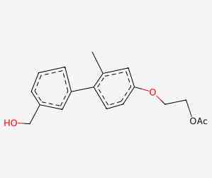 CC(=O)OCCOc1ccc(-c2cccc(CO)c2)c(C)c1